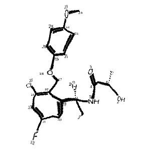 [2H][C@@](C)(NC(=O)[C@H](C)O)c1cc(F)cc(Cl)c1COc1ccc(OC)cc1